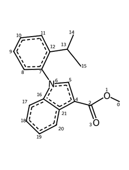 COC(=O)c1cn(-c2ccccc2C(C)C)c2ccccc12